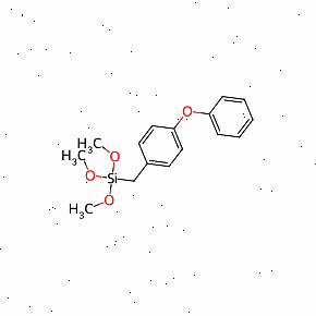 CO[Si](Cc1ccc(Oc2ccccc2)cc1)(OC)OC